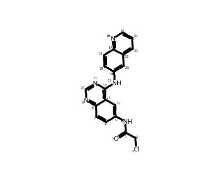 O=C(CCl)Nc1ccc2ncnc(Nc3ccc4ncccc4c3)c2c1